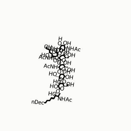 CCCCCCCCCCCCC/C=C/[C@@H](O)[C@H](CO[C@@H]1O[C@H](CO)[C@@H](O[C@@H]2O[C@H](CO)[C@H](O[C@@H]3O[C@H](CO)[C@H](O)[C@H](O[C@@H]4O[C@H](CO)[C@H](O[C@@H]5O[C@H](CO)[C@H](O)[C@H](O)[C@H]5NC(C)=O)[C@H](O[C@]5(C(=O)O)C[C@H](O)[C@@H](NC(C)=O)[C@H]([C@H](O)[C@H](O)CO)O5)[C@H]4O)[C@H]3NC(C)=O)[C@H](O)[C@H]2O)[C@H](O)[C@H]1O)NC(C)=O